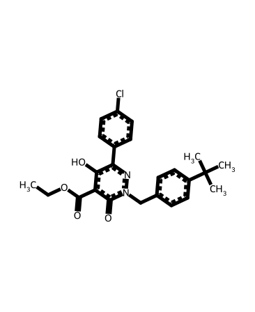 CCOC(=O)c1c(O)c(-c2ccc(Cl)cc2)nn(Cc2ccc(C(C)(C)C)cc2)c1=O